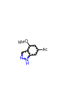 COc1cc(C(C)=O)cc2[nH]ncc12